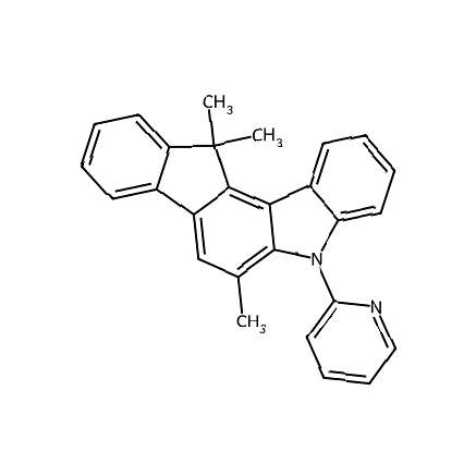 Cc1cc2c(c3c4ccccc4n(-c4ccccn4)c13)C(C)(C)c1ccccc1-2